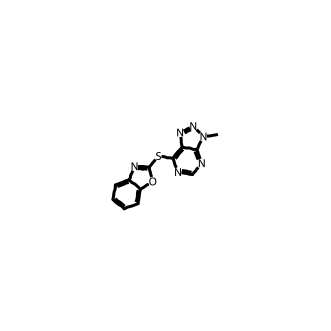 Cn1nnc2c(Sc3nc4ccccc4o3)ncnc21